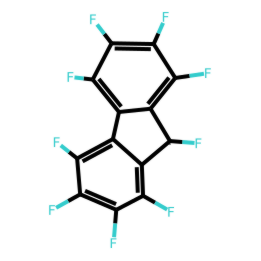 F[C]1c2c(F)c(F)c(F)c(F)c2-c2c(F)c(F)c(F)c(F)c21